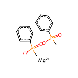 CP(=O)([O-])c1ccccc1.CP(=O)([O-])c1ccccc1.[Mg+2]